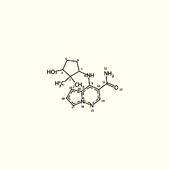 CC1(C)C(O)CCC1Nc1c(C(N)=O)cnn2cccc12